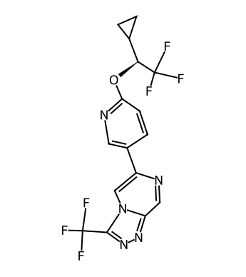 FC(F)(F)c1nnc2cnc(-c3ccc(O[C@@H](C4CC4)C(F)(F)F)nc3)cn12